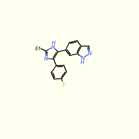 CCc1nc(-c2ccc(F)cc2)c(-c2ccc3cn[nH]c3c2)[nH]1